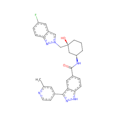 Cc1cc(-c2n[nH]c3ccc(C(=O)N[C@@H]4CCC[C@@](O)(Cn5cc6cc(F)ccc6n5)C4)cc23)ccn1